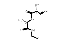 CC(=O)CNC(=O)[C@H](C)NC(=O)[C@@H](C=N)C(C)C